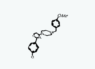 COc1ccc(CN2CCN(c3ccnc(-c4ccc(Cl)cc4)n3)CC2)cc1